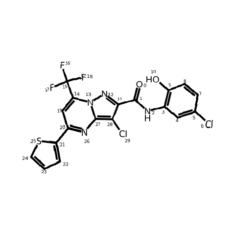 O=C(Nc1cc(Cl)ccc1O)c1nn2c(C(F)(F)F)cc(-c3cccs3)nc2c1Cl